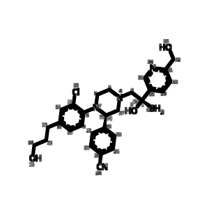 B[C@@](O)(CN1CCN(c2ccc(CCCO)cc2Cl)[C@H](c2ccc(C#N)cc2)C1)c1ccc(CO)nc1